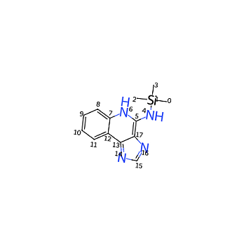 C[Si](C)(C)Nc1[nH]c2ccccc2c2ncnc1-2